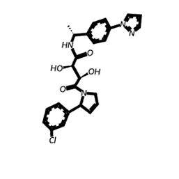 C[C@@H](NC(=O)[C@H](O)[C@@H](O)C(=O)N1CC=CC1c1cccc(Cl)c1)c1ccc(-n2cccn2)cc1